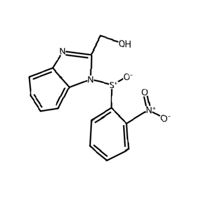 O=[N+]([O-])c1ccccc1[S+]([O-])n1c(CO)nc2ccccc21